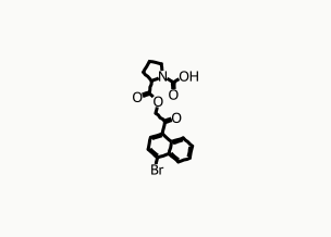 O=C(COC(=O)C1CCCN1C(=O)O)c1ccc(Br)c2ccccc12